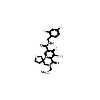 COCN1CC2(CCOC2)n2cc(C(=O)NCc3ccc(F)cc3F)c(=O)c(O)c2C1=O